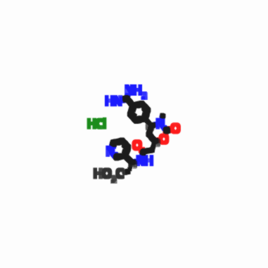 CN1C(=O)O[C@@H](CC(=O)N[C@H](CC(=O)O)c2cccnc2)C[C@H]1c1ccc(C(=N)N)cc1.Cl